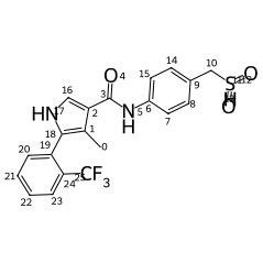 Cc1c(C(=O)Nc2ccc(C[SH](=O)=O)cc2)c[nH]c1-c1ccccc1C(F)(F)F